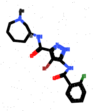 CC(=O)N1CCCC[C@@H](NC(=O)c2n[nH]c(NC(=O)c3ccccc3Cl)c2Br)C1